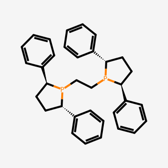 c1ccc([C@@H]2CC[C@@H](c3ccccc3)P2CCP2[C@H](c3ccccc3)CC[C@H]2c2ccccc2)cc1